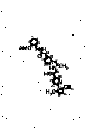 COc1ccccc1CNC(=O)Cc1cccc(C[C@@H](C)NC[C@@H](O)c2ccc(-n3c(C)ccc3C)nc2)c1